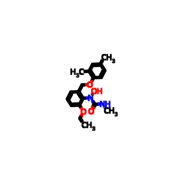 CCOc1cccc(COc2ccc(C)cc2C)c1N(O)C(=O)NC